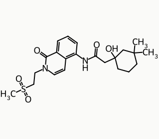 CC1(C)CCCC(O)(CC(=O)Nc2cccc3c(=O)n(CCS(C)(=O)=O)ccc23)C1